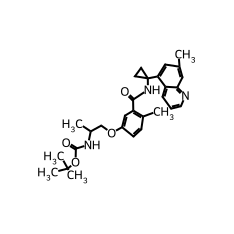 Cc1cc(C2(NC(=O)c3cc(OCC(C)NC(=O)OC(C)(C)C)ccc3C)CC2)c2cccnc2c1